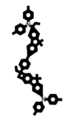 CCC1(c2ccc(C3c4cc5c(cc43)C(C)(C)c3cc4c(cc3-5)C4(CC)N(c3ccc(C)cc3)c3ccc(C)cc3)cc2)Cc2cc3c(cc21)C(C)(C)c1cc2c(cc1-3)C2N(c1ccc(C)cc1)c1ccc(C)cc1